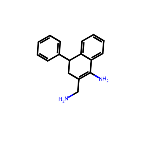 NCC1=C(N)c2ccccc2C(c2ccccc2)C1